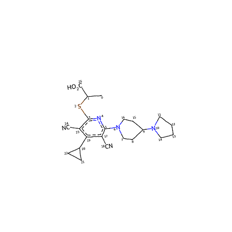 CC(Sc1nc(N2CCC(N3CCCC3)CC2)c(C#N)c(C2CC2)c1C#N)C(=O)O